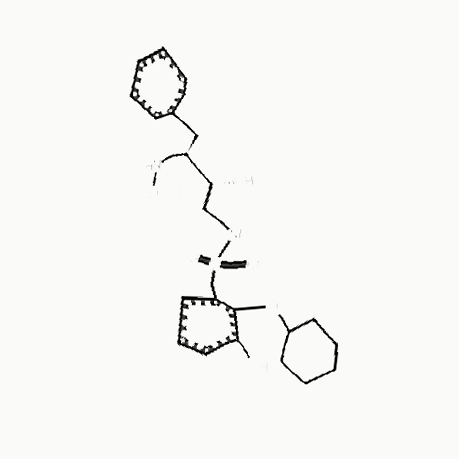 O=C(O)N[C@@H](Cc1ccccc1)[C@H](O)CNS(=O)(=O)c1cccc(O)c1OC1CCCCC1